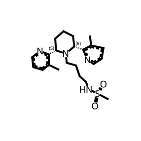 Cc1cccnc1[C@H]1CCC[C@@H](c2ncccc2C)N1CCCCNS(C)(=O)=O